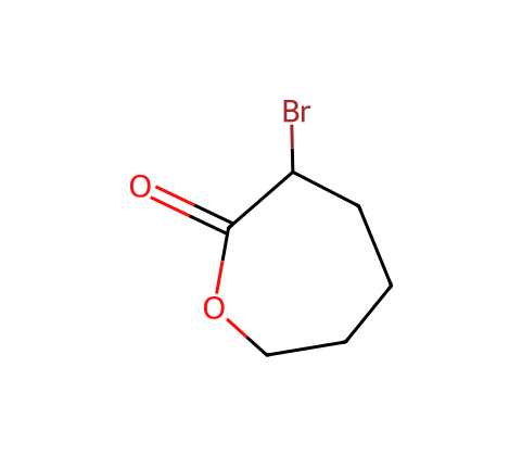 O=C1OCCCCC1Br